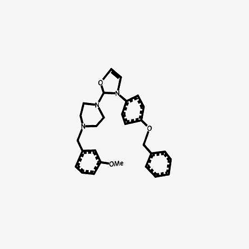 COc1cccc(CN2CCN(C3OC=CN3c3ccc(OCc4ccccc4)cc3)CC2)c1